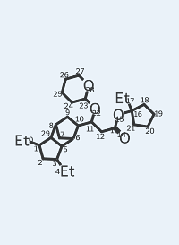 CCC1CC(CC)C2C3CC(CC3C(CC(=O)OC3(CC)CCCC3)OC3CCCCO3)C12